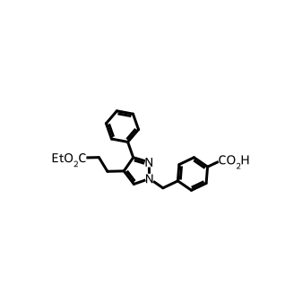 CCOC(=O)CCc1cn(Cc2ccc(C(=O)O)cc2)nc1-c1ccccc1